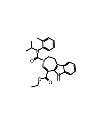 CCOC(=O)C1=CN(C(=O)N(c2ccccc2C)C(C)C)CCc2c1[nH]c1ccccc21